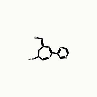 CC/C=C1\CC(OC)C=NC(c2cnccn2)=N1